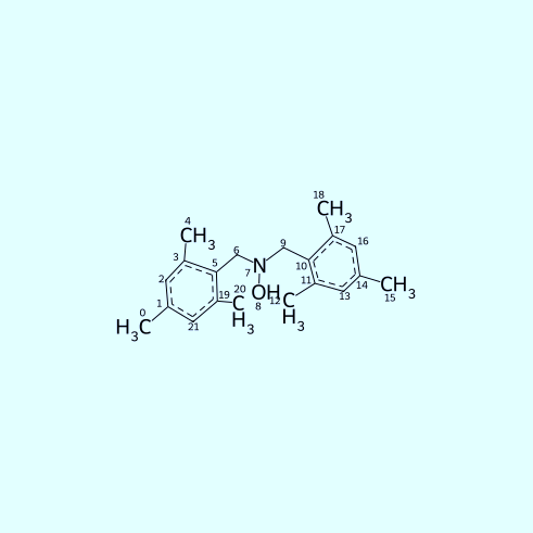 Cc1cc(C)c(CN(O)Cc2c(C)cc(C)cc2C)c(C)c1